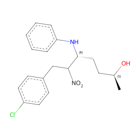 C[C@H](O)CC[C@@H](Nc1ccccc1)C(Cc1ccc(Cl)cc1)[N+](=O)[O-]